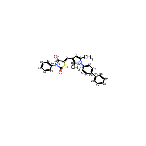 Cc1cc(C=C2SC(=O)N(c3ccccc3)C2=O)c(C)n1-c1ccc(-c2ccccc2)cc1